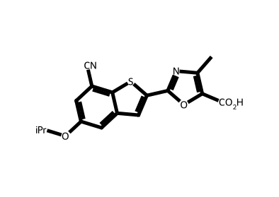 Cc1nc(-c2cc3cc(OC(C)C)cc(C#N)c3s2)oc1C(=O)O